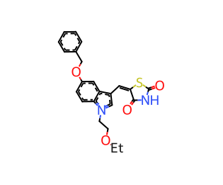 CCOCCn1cc(C=C2SC(=O)NC2=O)c2cc(OCc3ccccc3)ccc21